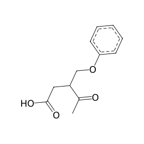 CC(=O)C(COc1ccccc1)CC(=O)O